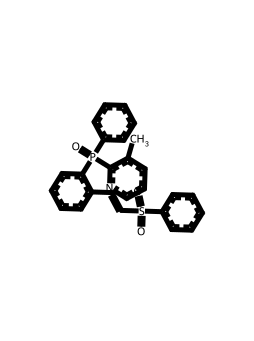 Cc1cccnc1P(=O)(c1ccccc1)c1ccccc1C=CS(=O)(=O)c1ccccc1